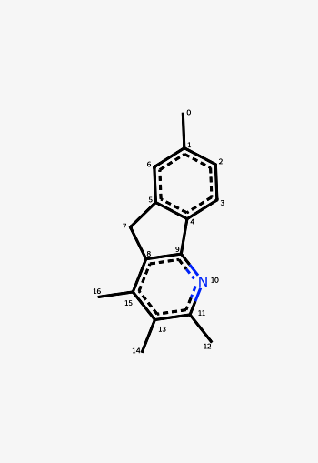 Cc1ccc2c(c1)Cc1c-2nc(C)c(C)c1C